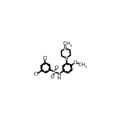 COc1ccc(NS(=O)(=O)c2cc(Cl)cc(Cl)c2)cc1N1CCN(C)CC1